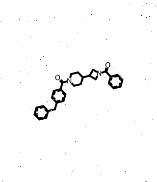 O=C(c1ccc(Cc2ccccc2)cc1)N1CCC(C2CN(C(=O)c3ccccc3)C2)CC1